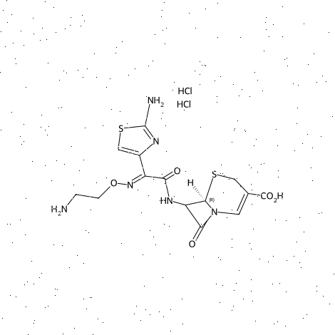 Cl.Cl.NCCON=C(C(=O)NC1C(=O)N2C=C(C(=O)O)CS[C@H]12)c1csc(N)n1